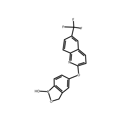 OB1OCc2cc(Oc3ccc4cc(C(F)(F)F)ccc4n3)ccc21